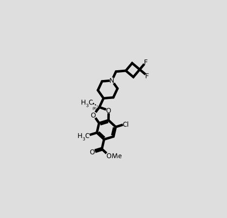 COC(=O)c1cc(Cl)c2c(c1C)O[C@@](C)(C1CCN(CC3CC(F)(F)C3)CC1)O2